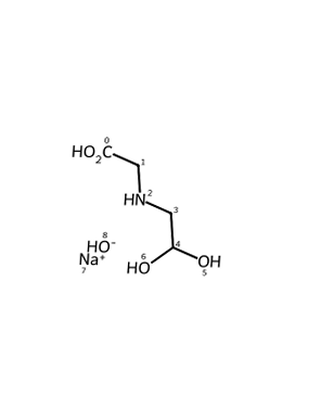 O=C(O)CNCC(O)O.[Na+].[OH-]